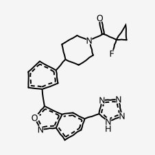 O=C(N1CCC(c2cccc(-c3onc4ccc(-c5nnn[nH]5)cc34)c2)CC1)C1(F)CC1